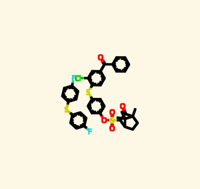 CC12CCC(C(S(=O)(=O)Oc3ccc(Sc4ccc(C(=O)c5ccccc5)cc4Cl)cc3)C1=O)C2(C)C.Fc1ccc(Sc2ccc(F)cc2)cc1